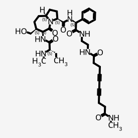 CC[C@H](NC)C(=O)N[C@@H]1C(=O)N2[C@@H](CC[C@@H]1CO)CC[C@H]2C(=O)N[C@H](C(=O)NCCNC(=O)CCC#CC#CCCC(=O)NC)c1ccccc1